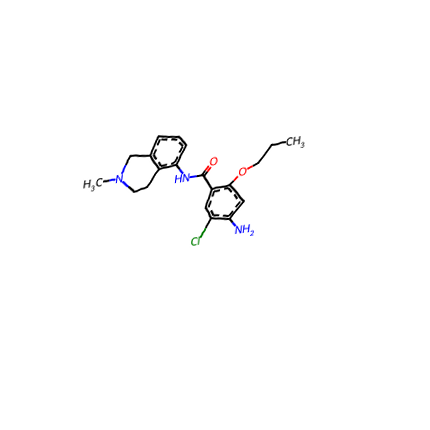 CCCOc1cc(N)c(Cl)cc1C(=O)Nc1cccc2c1CCN(C)C2